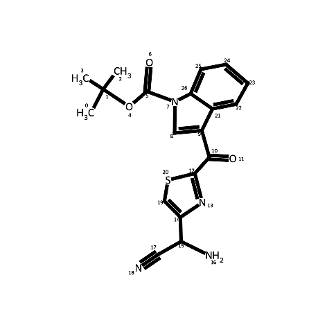 CC(C)(C)OC(=O)n1cc(C(=O)c2nc(C(N)C#N)cs2)c2ccccc21